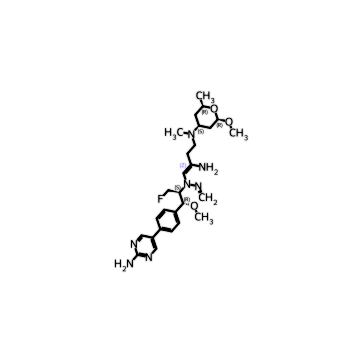 C=NN(/C=C(\N)CCN(C)[C@@H]1C[C@H](OC)O[C@H](C)C1)[C@H](CF)[C@H](OC)c1ccc(-c2cnc(N)nc2)cc1